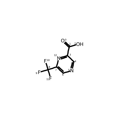 O=C(O)c1cncc(C(F)(F)F)n1